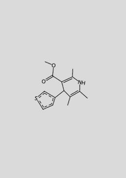 COC(=O)C1=C(C)NC(C)=C(C)C1c1ccsc1